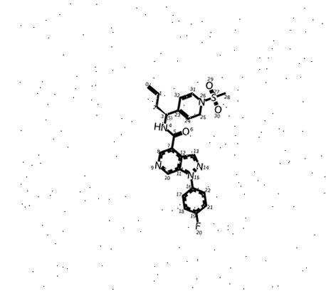 C=CC[C@H](NC(=O)c1cncc2c1cnn2-c1ccc(F)cc1)C1=CCN(S(C)(=O)=O)C=C1